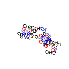 COc1ccccc1-c1nccc(COc2ccccc2CC(Oc2ncnc3sc(-c4ccc(F)cc4)c(-c4ccc(OCCN5CC[N+](C)(Cc6ccc(NC(=O)CNC(=O)C(NC(=O)CCOCCN(C)C(=O)/C=C\C=O)C(C)C)cc6CN(C)C(=O)CN(CC(=O)O)CC(=O)O)CC5)c(Cl)c4C)c23)C(=O)O)n1